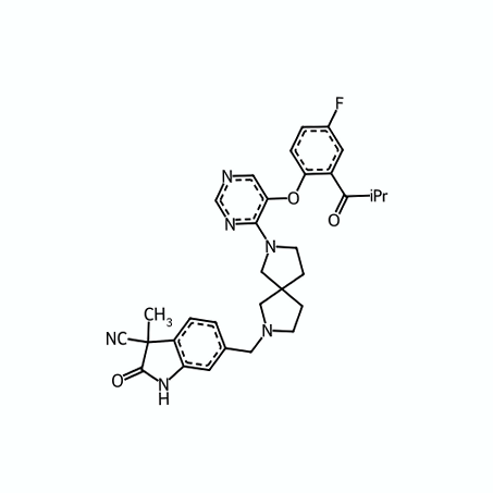 CC(C)C(=O)c1cc(F)ccc1Oc1cncnc1N1CCC2(CCN(Cc3ccc4c(c3)NC(=O)C4(C)C#N)C2)C1